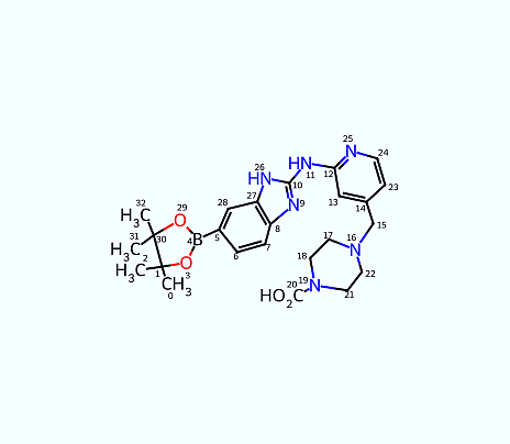 CC1(C)OB(c2ccc3nc(Nc4cc(CN5CCN(C(=O)O)CC5)ccn4)[nH]c3c2)OC1(C)C